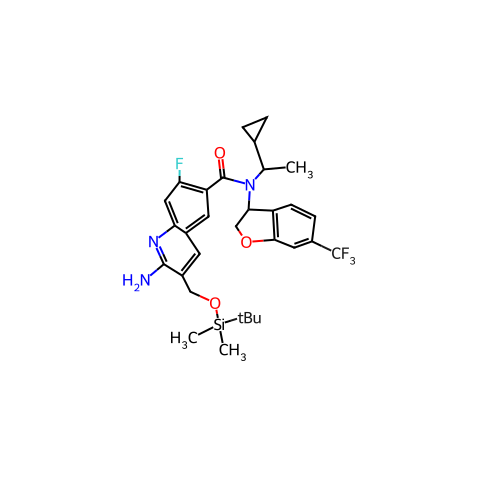 CC(C1CC1)N(C(=O)c1cc2cc(CO[Si](C)(C)C(C)(C)C)c(N)nc2cc1F)C1COc2cc(C(F)(F)F)ccc21